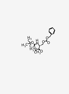 COC(=O)[C@H](COC(=O)OCc1ccccc1)NC(=O)OC(C)(C)C